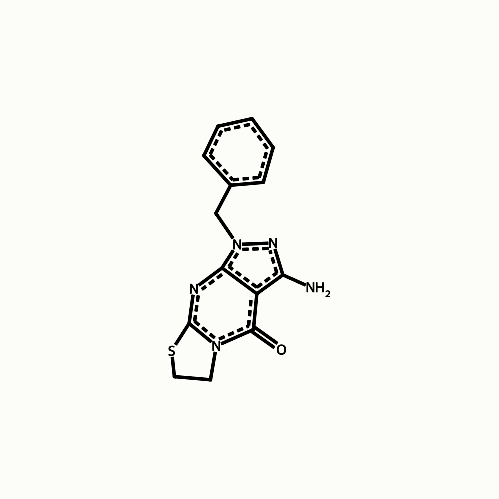 Nc1nn(Cc2ccccc2)c2nc3n(c(=O)c12)CCS3